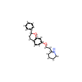 c1ccc(C2CCc3ccc(OCCC4CCCCN4)cc3O2)cc1